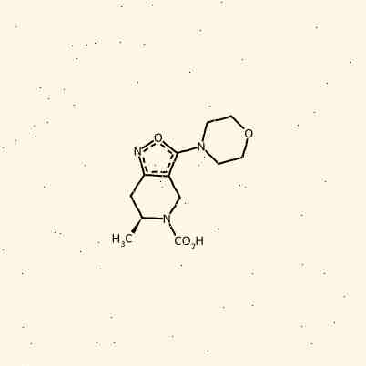 C[C@H]1Cc2noc(N3CCOCC3)c2CN1C(=O)O